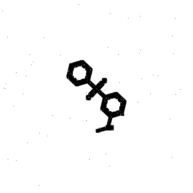 CNc1cc(S(=O)(=O)c2ccccc2)ccn1